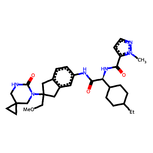 CCC1CCC([C@H](NC(=O)c2ccnn2C)C(=O)Nc2ccc3c(c2)CC(COC)(N2CC4(CC4)CNC2=O)C3)CC1